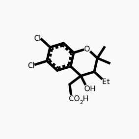 CCC1C(C)(C)Oc2cc(Cl)c(Cl)cc2C1(O)CC(=O)O